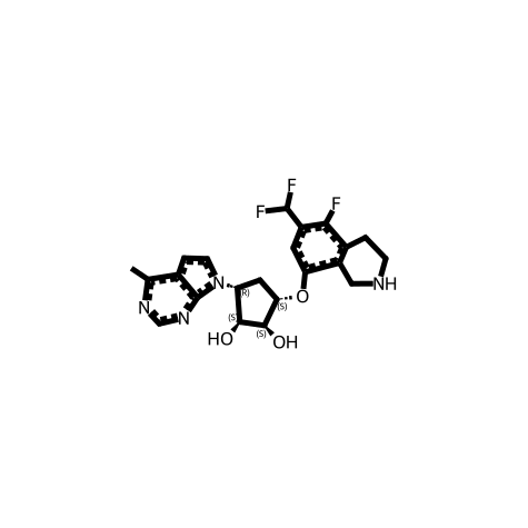 Cc1ncnc2c1ccn2[C@@H]1C[C@H](Oc2cc(C(F)F)c(F)c3c2CNCC3)[C@@H](O)[C@H]1O